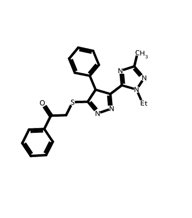 CCn1nc(C)nc1C1=NN=C(SCC(=O)c2ccccc2)C1c1ccccc1